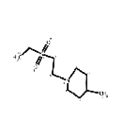 [CH2]C1CCN(CCS(=O)(=O)CC)CC1